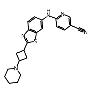 N#Cc1ccc(Nc2ccc3nc(C4CC(N5CCCCC5)C4)sc3c2)nc1